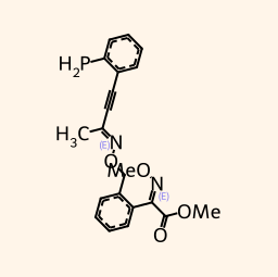 CO/N=C(/C(=O)OC)c1ccccc1CO/N=C(\C)C#Cc1ccccc1P